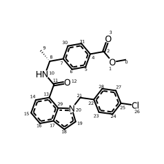 COC(=O)c1ccc([C@@H](C)NC(=O)c2cccc3ccn(Cc4ccc(Cl)cc4)c23)cc1